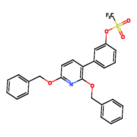 O=S(=O)(Oc1cccc(-c2ccc(OCc3ccccc3)nc2OCc2ccccc2)c1)C(F)(F)F